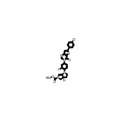 CC(C)(C)OC(=O)N1C=C2[C@@H](CCN2c2ccc(-n3cnc4cc(-c5ccc(Cl)cc5)sc4c3=O)cc2F)C1